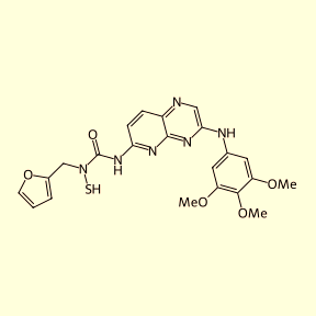 COc1cc(Nc2cnc3ccc(NC(=O)N(S)Cc4ccco4)nc3n2)cc(OC)c1OC